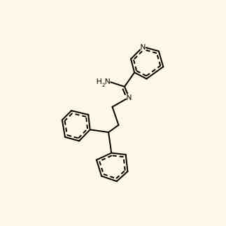 N/C(=N\CCC(c1ccccc1)c1ccccc1)c1cccnc1